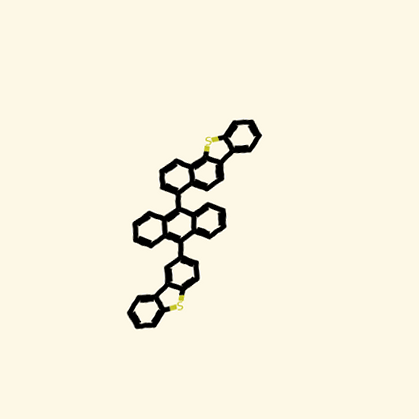 c1ccc2c(c1)sc1ccc(-c3c4ccccc4c(-c4cccc5c4ccc4c6ccccc6sc54)c4ccccc34)cc12